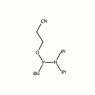 CCC(C)P(OCCC#N)N(C(C)C)C(C)C